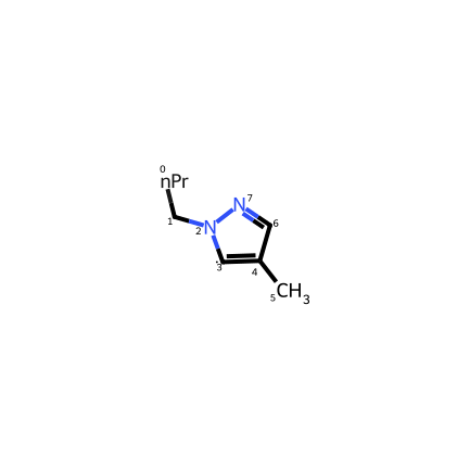 CCCCn1[c]c(C)cn1